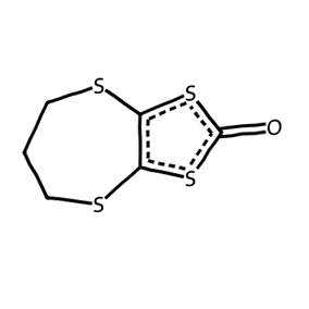 O=c1sc2c(s1)SCCCS2